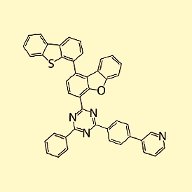 c1ccc(-c2nc(-c3ccc(-c4cccnc4)cc3)nc(-c3ccc(-c4cccc5c4sc4ccccc45)c4c3oc3ccccc34)n2)cc1